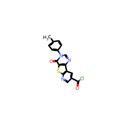 Cc1ccc(-n2cnc3c(sc4ncc(C(=O)Cl)cc43)c2=O)cc1